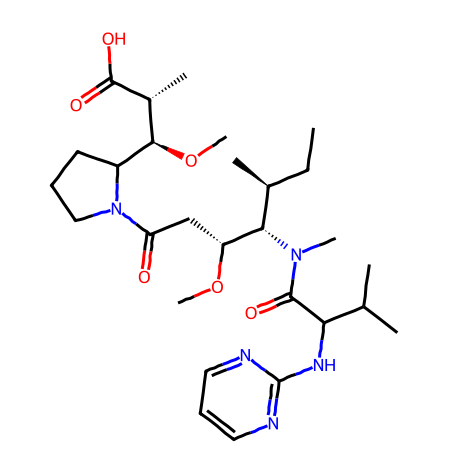 CC[C@H](C)[C@@H]([C@@H](CC(=O)N1CCCC1[C@H](OC)[C@@H](C)C(=O)O)OC)N(C)C(=O)C(Nc1ncccn1)C(C)C